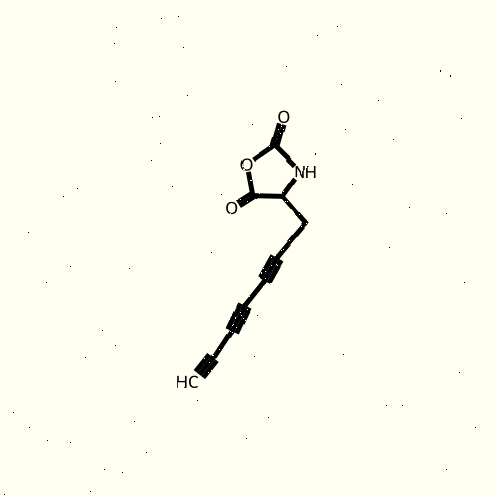 C#CC#CC#CCC1NC(=O)OC1=O